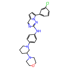 Clc1cccc(-c2ccc3cnc(Nc4ccc(N5CCCC(N6CCOCC6)C5)cc4)nn23)c1